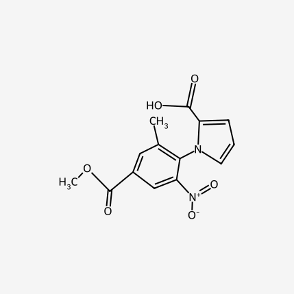 COC(=O)c1cc(C)c(-n2cccc2C(=O)O)c([N+](=O)[O-])c1